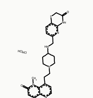 Cl.Cl.Cn1c(=O)ccc2nccc(CCN3CCC(NCc4ccc5c(n4)NC(=O)CS5)CC3)c21